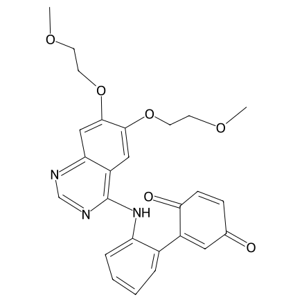 COCCOc1cc2ncnc(Nc3ccccc3C3=CC(=O)C=CC3=O)c2cc1OCCOC